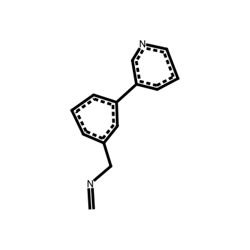 C=NCc1cccc(-c2cccnc2)c1